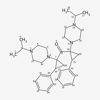 CC(C)N1CCN(C2(C(=O)C3(N4CCN(C(C)C)CC4)CC3c3ccccc3)CC2c2ccccc2)CC1